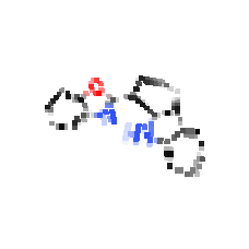 c1ccc2oc(-c3cccc4c3[nH]c3ccccc34)nc2c1